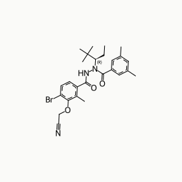 CC[C@@H](N(NC(=O)c1ccc(Br)c(OCC#N)c1C)C(=O)c1cc(C)cc(C)c1)C(C)(C)C